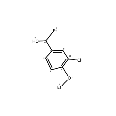 CCOc1ccc([C](O)CC)cc1Cl